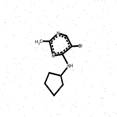 Cc1ncc(Br)c(NC2CCCC2)n1